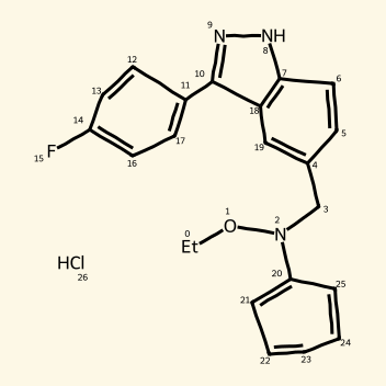 CCON(Cc1ccc2[nH]nc(-c3ccc(F)cc3)c2c1)c1ccccc1.Cl